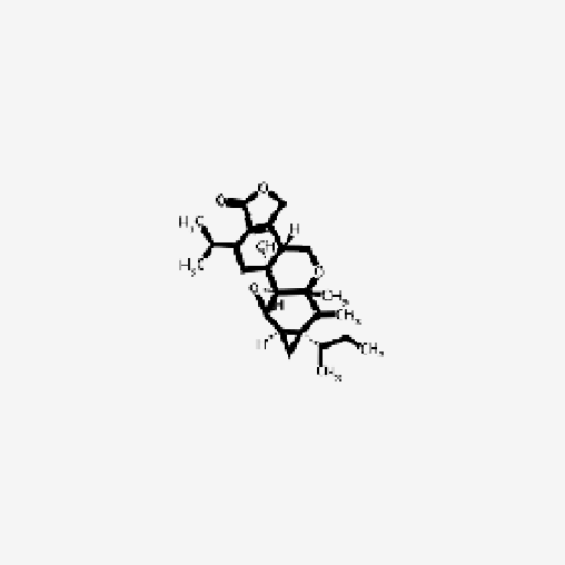 CCC(C)[C@]12C[C@H]1[C@@H]1O[C@@]13[C@@]1(C)CC(C(C)C)C4=C(COC4=O)[C@@H]1CO[C@]3(C)C2C